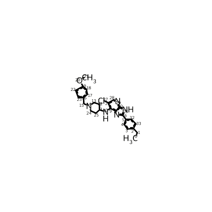 CCc1ccc(-c2nc3c(NC4CCN(Cc5ccc(OC)cc5)CC4)c(Cl)cnc3[nH]2)cc1